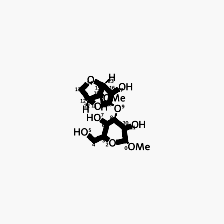 CO[C@@H]1OC(CO)C(O)[C@H](O[C@@H]2O[C@H]3CO[C@@H](C2O)[C@@H]3OC)C1O